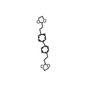 c1cc(-c2ccc(CCC3OCCO3)cc2)ccc1CCC1OCCO1